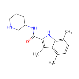 Cc1ccc(C)c2c(C)c(C(=O)NC3CCCNC3)[nH]c12